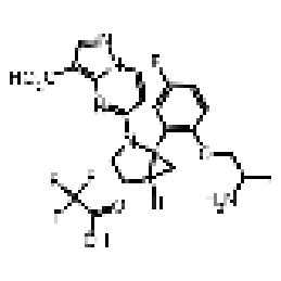 C[C@@H](N)COc1ccc(F)cc1[C@@]12C[C@@H]1CCN2c1ccn2ncc(C(=O)O)c2n1.O=C(O)C(F)(F)F